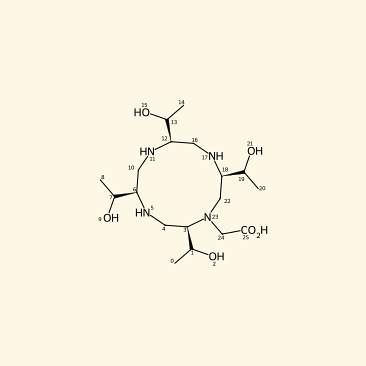 CC(O)[C@H]1CN[C@@H](C(C)O)CN[C@@H](C(C)O)CN[C@@H](C(C)O)CN1CC(=O)O